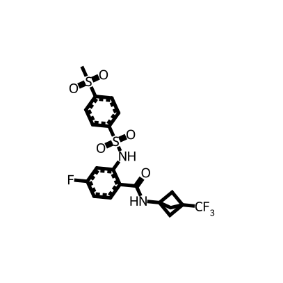 CS(=O)(=O)c1ccc(S(=O)(=O)Nc2cc(F)ccc2C(=O)NC23CC(C(F)(F)F)(C2)C3)cc1